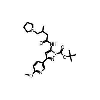 COc1ccc(-c2cc(NC(=O)CC(C)CN3CCCC3)n(C(=O)OC(C)(C)C)n2)cn1